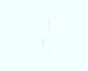 CC#Cc1ncc(Cl)nc1N